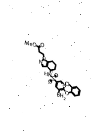 Bc1cc(S(=O)(=O)N[C@@H]2CCCc3c2cnn3CCC(=O)OC)cnc1Oc1ccccc1Cl